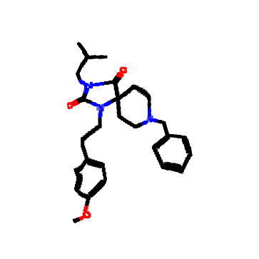 COc1ccc(CCN2C(=O)N(CC(C)C)C(=O)C23CCN(Cc2ccccc2)CC3)cc1